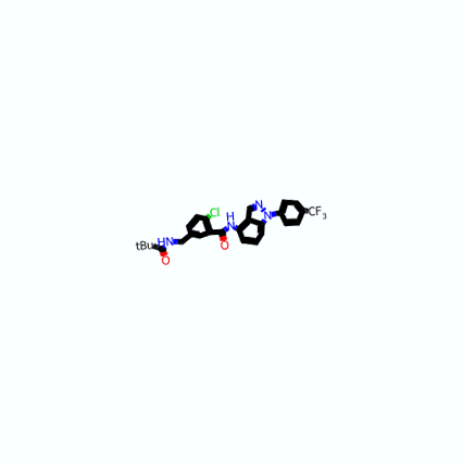 CC(C)(C)C(=O)NCc1ccc(Cl)c(C(=O)Nc2cccc3c2cnn3-c2ccc(C(F)(F)F)cc2)c1